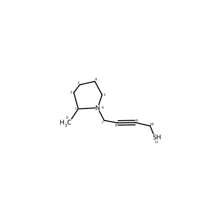 CC1CCCCN1CC#CCS